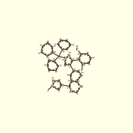 Cn1cc(-c2ncnc3ccc(-c4cn(C(c5ccccc5)(c5ccccc5)c5ccccc5)nc4-c4c(F)cccc4F)cc23)cn1